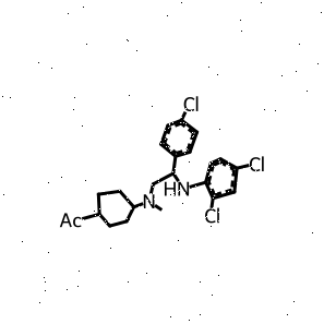 CC(=O)C1CCC(N(C)CC(Nc2ccc(Cl)cc2Cl)c2ccc(Cl)cc2)CC1